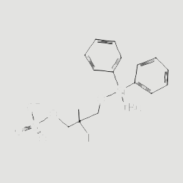 CC(C)(C)[Si](OCC(F)(F)COS(=O)(=O)C(F)(F)F)(c1ccccc1)c1ccccc1